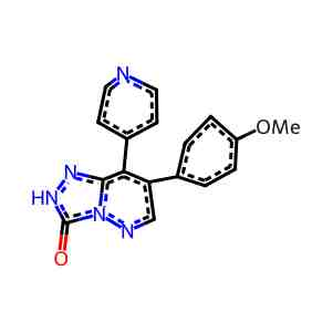 COc1ccc(-c2cnn3c(=O)[nH]nc3c2-c2ccncc2)cc1